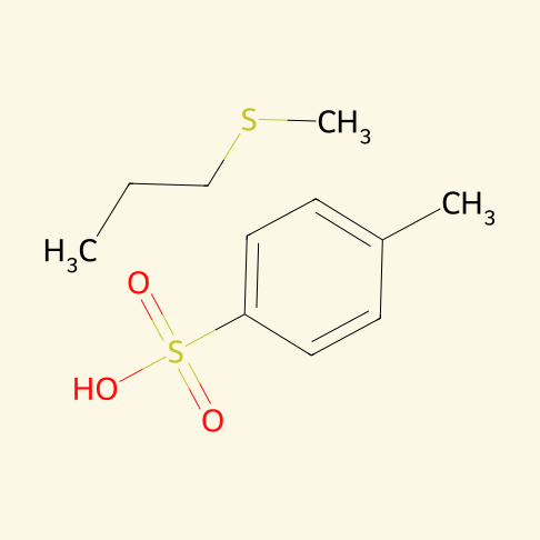 CCCSC.Cc1ccc(S(=O)(=O)O)cc1